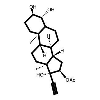 C#C[C@]1(O)[C@H](OC(C)=O)C[C@H]2[C@@H]3CCC4[C@@H](O)[C@H](O)CC[C@]4(C)[C@H]3CC[C@@]21C